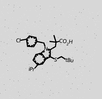 CC(C)c1ccc2c(c1)c(SCC(C)(C)C)c(CC(C)(C)C(=O)O)n2Cc1ccc(Cl)cc1